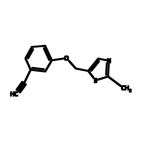 C#Cc1cccc(OCc2cnc(C)s2)c1